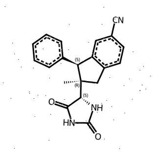 C[C@@]1([C@@H]2NC(=O)NC2=O)Cc2ccc(C#N)cc2[C@@H]1c1ccccc1